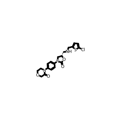 O=C1COCCN1c1ccc(N2C[C@H](CNCc3ccc(Cl)s3)OC2=O)cc1